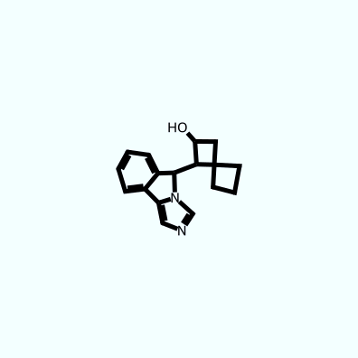 OC1CC2(CCC2)C1C1c2ccccc2-c2cncn21